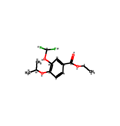 CCOC(=O)c1ccc(OC(C)C)c(OC(F)F)c1